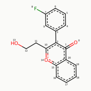 O=c1c(-c2cccc(F)c2)c(CCO)oc2ccccc12